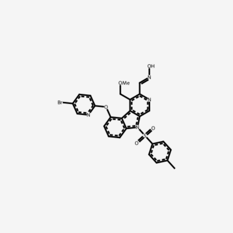 COCc1c(/C=N/O)ncc2c1c1c(Oc3ccc(Br)cn3)cccc1n2S(=O)(=O)c1ccc(C)cc1